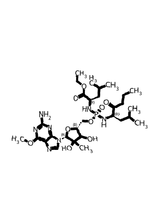 CCCC(=O)[C@@H](CC(C)C)NP(=O)(N[C@H](CC(C)C)C(=O)OCC)OC[C@H]1O[C@@H](n2cnc3c(OC)nc(N)nc32)C(C)(O)C1O